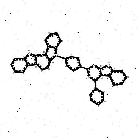 c1ccc(-c2nc(-c3ccc(-n4c5ccccc5c5c6oc7ccccc7c6ccc54)cc3)nc3oc4ccccc4c23)cc1